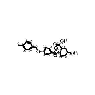 Cc1ccc(COc2ccc(S(=O)(=O)N3CCC(O)CC3C(=O)O)cc2)cc1